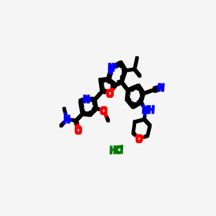 COc1cc(C(=O)N(C)C)cnc1-c1cc2ncc(C(C)C)c(-c3ccc(NC4CCOCC4)c(C#N)c3)c2o1.Cl